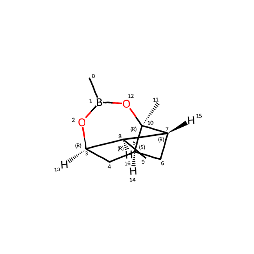 CB1O[C@@H]2C[C@@H]3C[C@H]([C@H]2C)[C@]3(C)O1